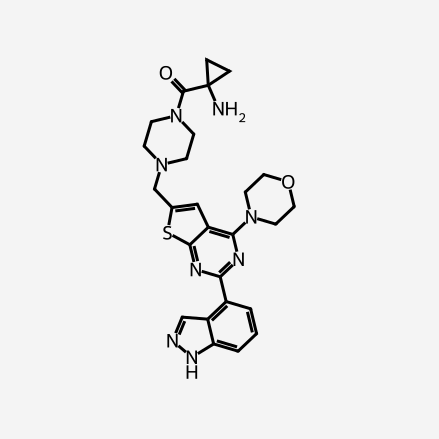 NC1(C(=O)N2CCN(Cc3cc4c(N5CCOCC5)nc(-c5cccc6[nH]ncc56)nc4s3)CC2)CC1